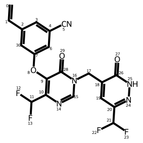 C=Cc1cc(C#N)cc(Oc2c(C(F)F)ncn(Cc3cc(C(F)F)n[nH]c3=O)c2=O)c1